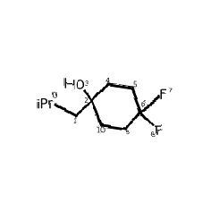 CC(C)CC1(O)CCC(F)(F)CC1